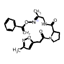 C=C(O/N=C(\C)CNC(=O)C1CCCN1C(=O)Cc1cc(C)no1)c1ccccc1